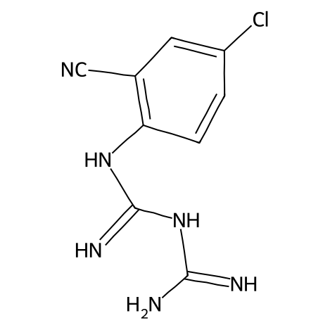 N#Cc1cc(Cl)ccc1NC(=N)NC(=N)N